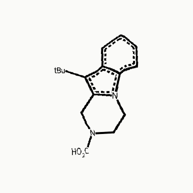 CC(C)(C)c1c2n(c3ccccc13)CCN(C(=O)O)C2